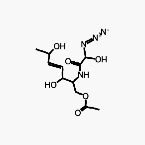 CC(=O)OCC(NC(=O)C(O)N=[N+]=[N-])C(O)C=CC(C)O